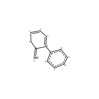 N=C1CC=CC=C1c1ccccc1